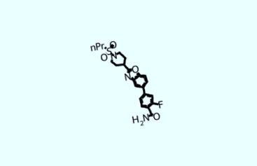 CCCS(=O)(=O)N1CCC(c2nc3cc(-c4ccc(C(N)=O)c(F)c4)ccc3o2)CC1